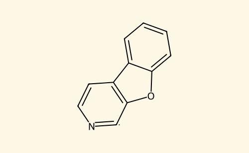 [c]1nccc2c1oc1ccccc12